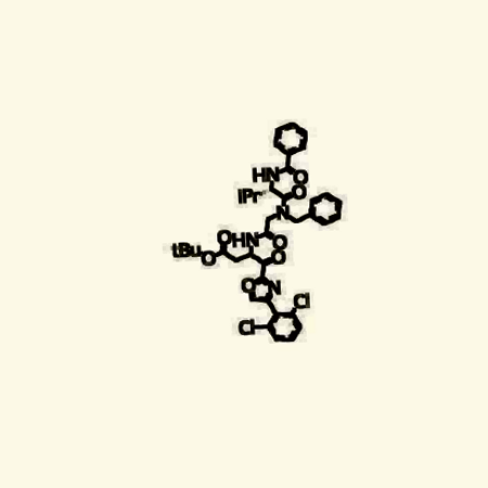 CC(C)[C@H](NC(=O)c1ccccc1)C(=O)N(CC(=O)NC(CC(=O)OC(C)(C)C)C(=O)c1nc(-c2c(Cl)cccc2Cl)co1)Cc1ccccc1